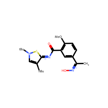 CCCCc1cn(C(C)(C)C)s/c1=N\C(=O)c1cc(/C(C)=N\O)ccc1OC